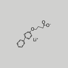 O=C([O-])CCCOc1ccc(-c2ccccc2)cc1.[Li+]